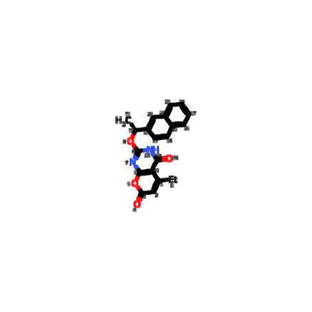 CCc1cc(=O)oc2nc(O[C@@H](C)c3ccc4ccccc4c3)[nH]c(=O)c12